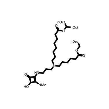 CCCCCCCCCCCOC(=O)CCCCCN(CCCCCCCC(=O)OC(CCCCCCCC)CCCCCCCC)CCCNC1=C(NC)C(O)C1=O